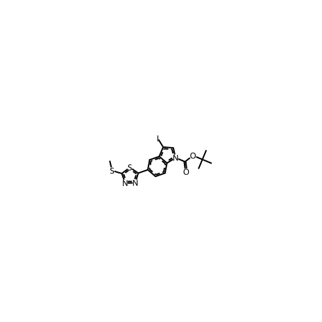 CSc1nnc(-c2ccc3c(c2)c(I)cn3C(=O)OC(C)(C)C)s1